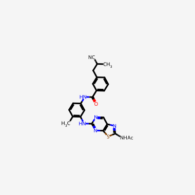 CC(=O)Nc1nc2cnc(Nc3cc(NC(=O)c4cccc(CC(C)C#N)c4)ccc3C)nc2s1